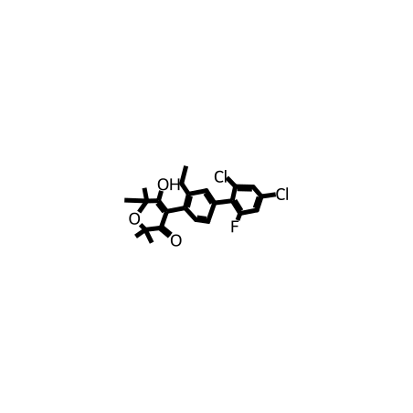 CCc1cc(-c2c(F)cc(Cl)cc2Cl)ccc1C1=C(O)C(C)(C)OC(C)(C)C1=O